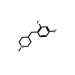 CN1CCC(Cc2ccc(F)cc2F)CC1